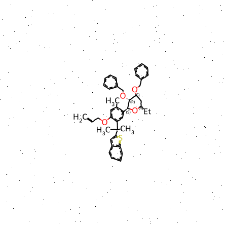 C=CCOc1cc(C)c([C@@H]2O[C@H](CC)C[C@H](OCc3ccccc3)[C@H]2OCc2ccccc2)cc1C(C)(C)c1cc2ccccc2s1